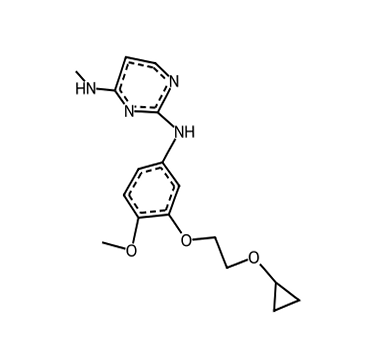 CNc1ccnc(Nc2ccc(OC)c(OCCOC3CC3)c2)n1